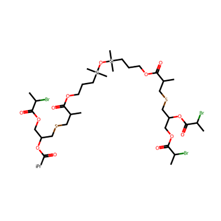 CC(C)C(=O)OC(COC(=O)C(C)Br)CSCC(C)C(=O)OCCC[Si](C)(C)O[Si](C)(C)CCCOC(=O)C(C)CSCC(COC(=O)C(C)Br)OC(=O)C(C)Br